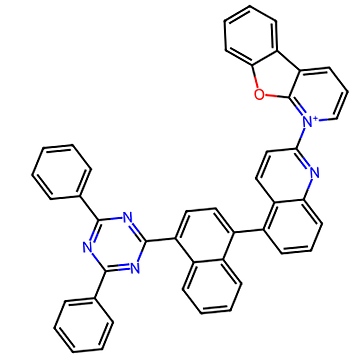 c1ccc(-c2nc(-c3ccccc3)nc(-c3ccc(-c4cccc5nc(-[n+]6cccc7c8ccccc8oc76)ccc45)c4ccccc34)n2)cc1